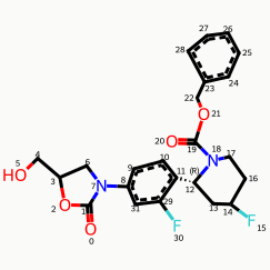 O=C1OC(CO)CN1c1ccc([C@H]2CC(F)CCN2C(=O)OCc2ccccc2)c(F)c1